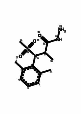 Cc1cccc(C)c1N(C(C)C(=O)NN)S(C)(=O)=O